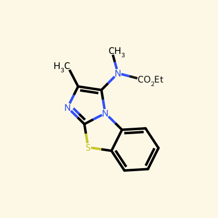 CCOC(=O)N(C)c1c(C)nc2sc3ccccc3n12